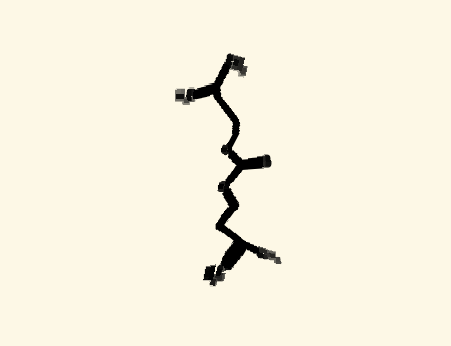 C=C(C)CCOC(=O)OCC(C)C